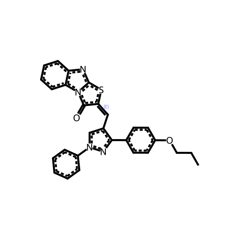 CCCOc1ccc(-c2nn(-c3ccccc3)cc2/C=c2/sc3nc4ccccc4n3c2=O)cc1